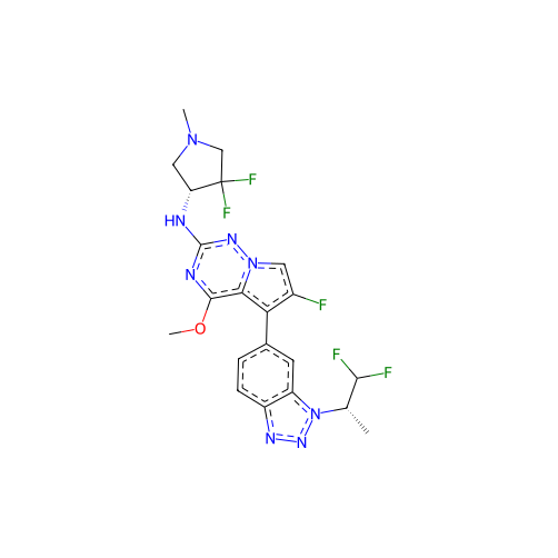 COc1nc(N[C@@H]2CN(C)CC2(F)F)nn2cc(F)c(-c3ccc4nnn([C@@H](C)C(F)F)c4c3)c12